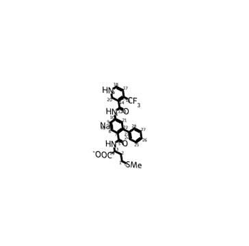 CSCC[C@H](NC(=O)c1ccc(NC(=O)C2=C(C(F)(F)F)C=CNC2)cc1-c1ccccc1)C(=O)[O-].[Na+]